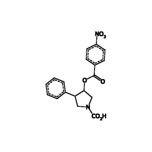 O=C(OC1CN(C(=O)O)CC1c1ccccc1)c1ccc([N+](=O)[O-])cc1